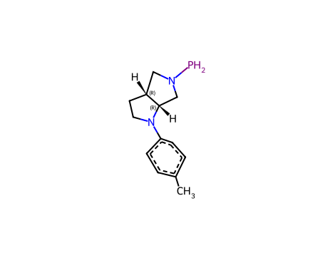 Cc1ccc(N2CC[C@@H]3CN(P)C[C@@H]32)cc1